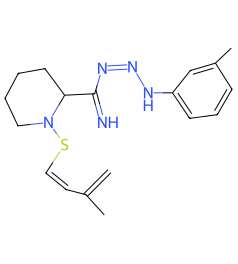 C=C(C)/C=C\SN1CCCCC1C(=N)/N=N\Nc1cccc(C)c1